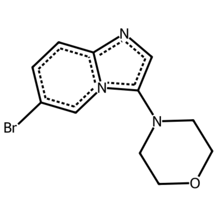 Brc1ccc2ncc(N3CCOCC3)n2c1